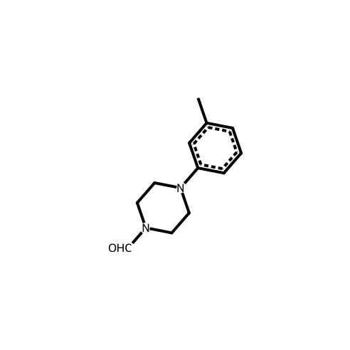 Cc1cccc(N2CCN(C=O)CC2)c1